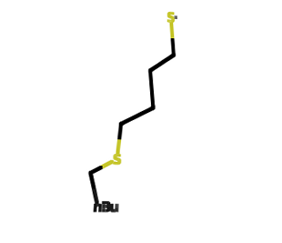 CCCCCSCCCC[S]